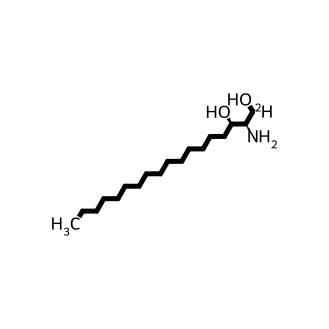 [2H]C(O)[C@H](N)[C@H](O)CCCCCCCCCCCCCCC